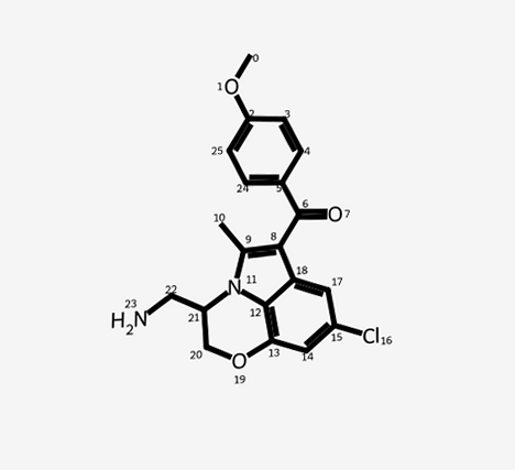 COc1ccc(C(=O)c2c(C)n3c4c(cc(Cl)cc24)OCC3CN)cc1